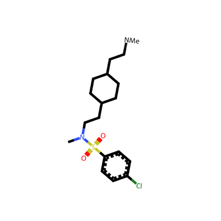 CNCCC1CCC(CCN(C)S(=O)(=O)c2ccc(Cl)cc2)CC1